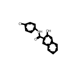 O=C(Nc1ccc(Cl)cc1)c1cc2ccccc2cc1O